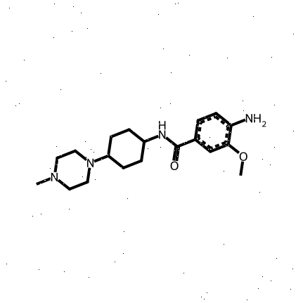 COc1cc(C(=O)NC2CCC(N3CCN(C)CC3)CC2)ccc1N